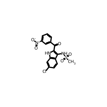 CS(=O)(=O)Nc1c(C(=O)c2cccc([N+](=O)[O-])c2)[nH]c2cc(Cl)ccc12